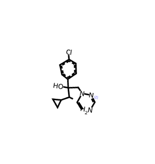 C=CN(CC(O)(c1ccc(Cl)cc1)C(C)C1CC1)/N=C\N